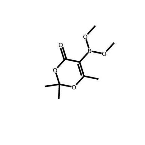 COB(OC)C1=C(C)OC(C)(C)OC1=O